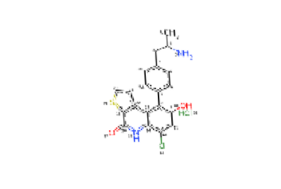 CC(N)Cc1ccc(-c2c(O)cc(Cl)c3[nH]c(=O)c4sccc4c23)cc1.Cl